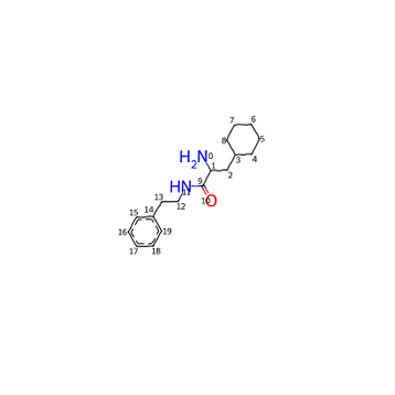 NC(CC1CCCCC1)C(=O)NCCc1ccccc1